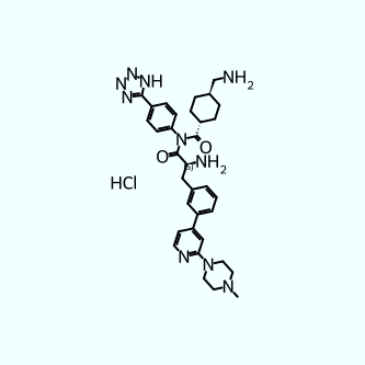 CN1CCN(c2cc(-c3cccc(C[C@H](N)C(=O)N(c4ccc(-c5nnn[nH]5)cc4)C(=O)[C@H]4CC[C@H](CN)CC4)c3)ccn2)CC1.Cl